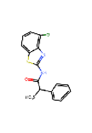 O=C(Nc1nc2c(Cl)cccc2s1)C(c1ccccc1)S(=O)(=O)O